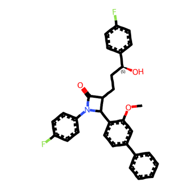 COc1cc(-c2ccccc2)ccc1C1C(CC[C@H](O)c2ccc(F)cc2)C(=O)N1c1ccc(F)cc1